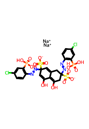 O=P(O)(O)c1cc(Cl)ccc1/N=N/C1(S(=O)(=O)[O-])C=C(O)C2=C(O)CC(/N=N/c3ccc(Cl)cc3P(=O)(O)O)(S(=O)(=O)[O-])CC2=C1.[Na+].[Na+]